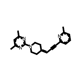 Cc1cccc(C#CC=C2CCN(c3nc(C)cc(C)n3)CC2)n1